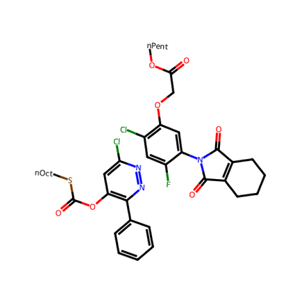 CCCCCCCCSC(=O)Oc1cc(Cl)nnc1-c1ccccc1.CCCCCOC(=O)COc1cc(N2C(=O)C3=C(CCCC3)C2=O)c(F)cc1Cl